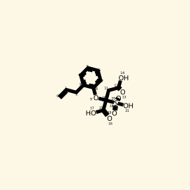 C=CCc1ccccc1OC(CC(=O)O)(C(=O)O)S(=O)(=O)O